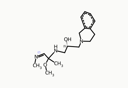 C/N=C\C(C)(NC[C@H](O)CN1CCc2ccccc2C1)OC